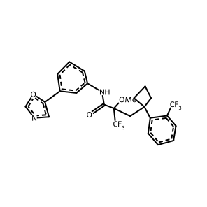 COC(CC1(c2ccccc2C(F)(F)F)CCC1)(C(=O)Nc1cccc(-c2cnco2)c1)C(F)(F)F